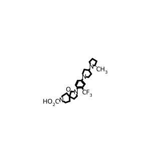 C[C@H]1CCCN1C1CCN(c2ccc(N3CCC4(CCN(C(=O)O)CC4)C3=O)c(C(F)(F)F)c2)CC1